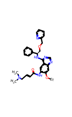 CCOc1cc2ncnc(N[C@H](COCc3ccccn3)c3ccccc3)c2cc1NC(=O)/C=C/CN(C)C